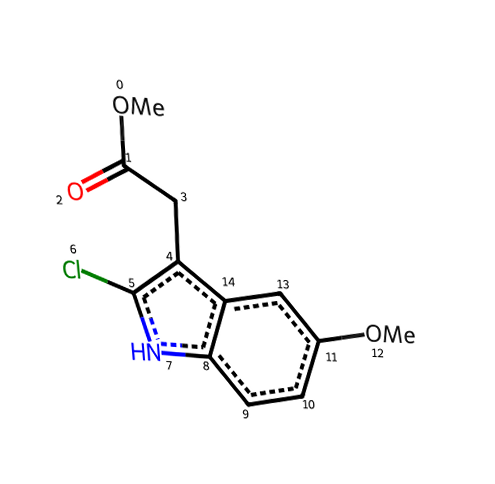 COC(=O)Cc1c(Cl)[nH]c2ccc(OC)cc12